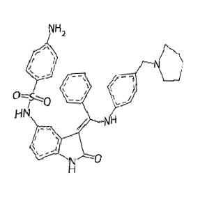 Nc1ccc(S(=O)(=O)Nc2ccc3c(c2)/C(=C(/Nc2ccc(CN4CCCCC4)cc2)c2ccccc2)C(=O)N3)cc1